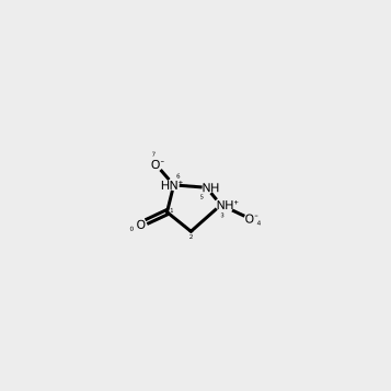 O=C1C[NH+]([O-])N[NH+]1[O-]